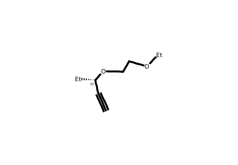 C#C[C@H](CC)OCCOCC